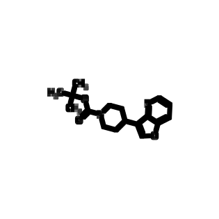 CC(C)(C)OC(=O)N1CCC(c2coc3cccnc23)CC1